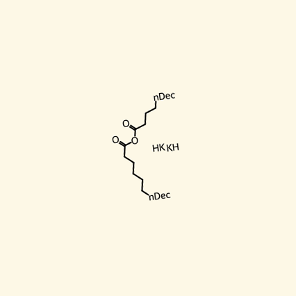 CCCCCCCCCCCCCCCC(=O)OC(=O)CCCCCCCCCCCCC.[KH].[KH]